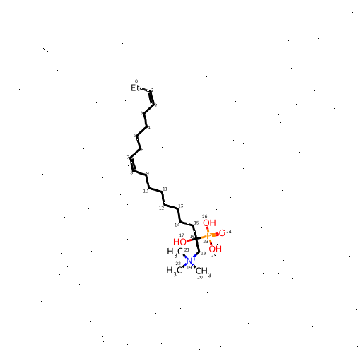 CC/C=C\CCCC/C=C\CCCCCCCC(O)(C[N+](C)(C)C)P(=O)(O)O